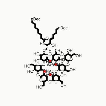 CCCCCCCCCCCCC/C=C/[C@@H](O)[C@H](CO[C@@H]1OC(CO)[C@@H](O[C@@H]2OC(CO)[C@H](O)[C@H](O[C@@H]3OC(CO)[C@@H](O[C@@H]4OC(CO)[C@H](O)[C@H](O[C@@H]5OC(CO)[C@@H](O[C@@H]6OC(CO)[C@H](O)[C@H](O)C6O)[C@H](O[C@H]6OC(C)[C@@H](O)C(O)[C@@H]6O)C5NC(C)=O)C4O)[C@H](O)C3NC(C)=O)C2O)[C@H](O)C1O)NC(=O)CCCCCCCCCCCCCCCCC